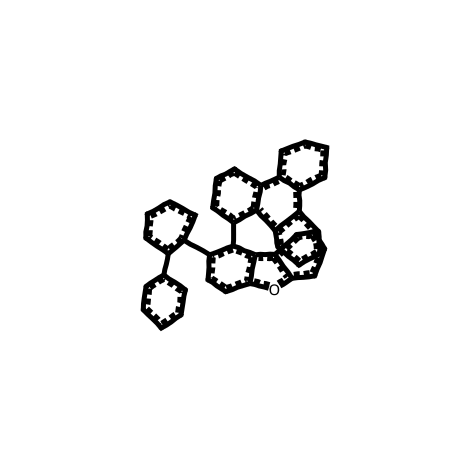 c1ccc(-c2ccccc2-c2ccc3oc4ccccc4c3c2-c2cccc3c4ccccc4c4ccccc4c23)cc1